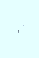 CCCCCCCCCC[N+](C)(C)CCCCCCCC.NNN.[Cl-]